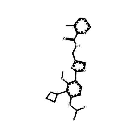 COc1c(-c2nc(CNC(=O)c3ncccc3C)co2)ccc(OC(F)F)c1C1CCC1